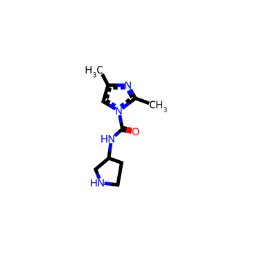 Cc1cn(C(=O)NC2CCNC2)c(C)n1